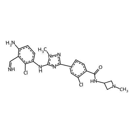 CN1CC(NC(=O)c2ccc(-c3nc(Nc4ccc(N)c(C=N)c4Cl)n(C)n3)cc2Cl)C1